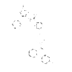 Cn1cc(-c2cccnc2)c(NC(=O)c2csc(C3CCN(C(=O)c4ccccc4-c4ccc(C(F)(F)F)cc4)CC3)n2)n1